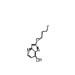 Oc1ccnc2cc(OCCCF)cnc12